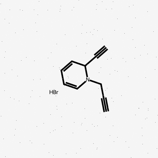 Br.C#CCN1C=CC=CC1C#C